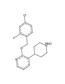 Cl.Fc1cc(Cl)ccc1COc1ncccc1C1CCNCC1